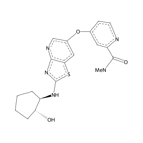 CNC(=O)c1cc(Oc2cnc3nc(N[C@@H]4CCCC[C@H]4O)sc3c2)ccn1